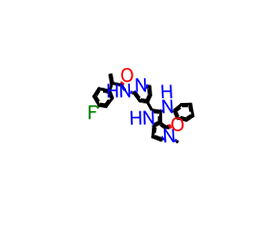 C=C(C(=O)Nc1cc(-c2[nH]c3ccn(C)c(=O)c3c2Nc2ccccc2)ccn1)c1ccc(F)cc1